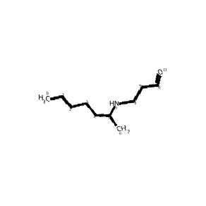 CCCCCC(C)NCCC=O